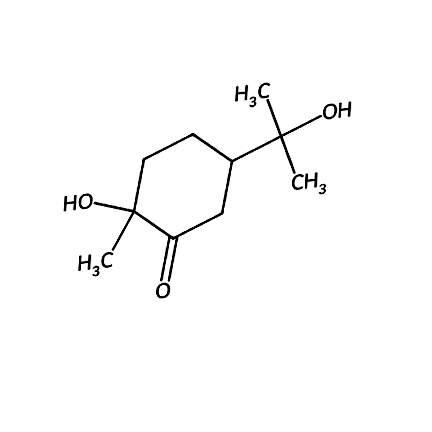 CC1(O)CCC(C(C)(C)O)CC1=O